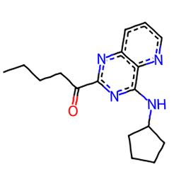 CCCCC(=O)c1nc(NC2CCCC2)c2ncccc2n1